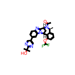 CC(=O)N1[C@@H]2C[C@H](c3c(OC(F)F)cccc3[C@@H]1C)n1c2nc2ccc(-c3cnc(C(C)(C)O)nc3)cc21